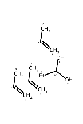 C=CC.C=CC.C=CC.CCC(O)O